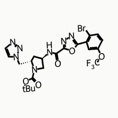 CC(C)(C)OC(=O)N1C[C@H](NC(=O)c2nnc(-c3cc(OC(F)(F)F)ccc3Br)o2)C[C@H]1Cn1ccnn1